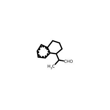 CC(C=O)C1CCCc2ccccc21